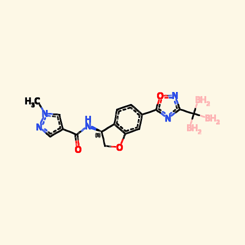 BC(B)(B)c1noc(-c2ccc3c(c2)OC[C@H]3NC(=O)c2cnn(C)c2)n1